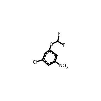 O=[N+]([O-])c1cc(Cl)cc(OC(F)F)c1